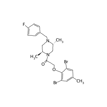 Cc1cc(Br)c(OCC(=O)N2C[C@@H](C)N(Cc3ccc(F)cc3)C[C@@H]2C)c(Br)c1